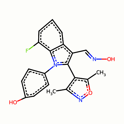 Cc1noc(C)c1-c1c(/C=N/O)c2cccc(F)c2n1-c1ccc(O)cc1